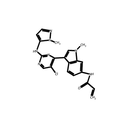 C=CC(=O)Nc1ccc2c(-c3nc(Nc4ccnn4C)ncc3Cl)cn(C)c2c1